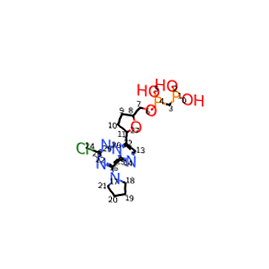 OP(O)CP(O)OCC1CCC(c2cnc3c(N4CCCC4)nc(Cl)nn23)O1